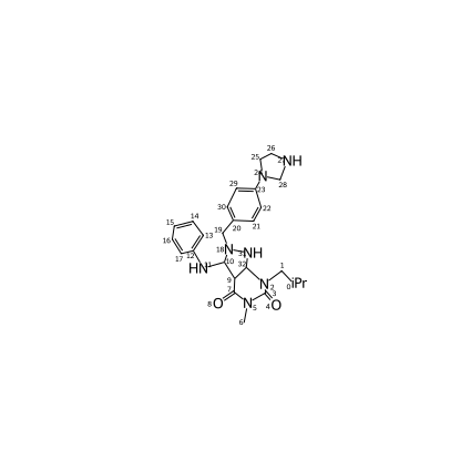 CC(C)CN1C(=O)N(C)C(=O)C2C(Nc3ccccc3)N(Cc3ccc(N4CCNC4)cc3)NC21